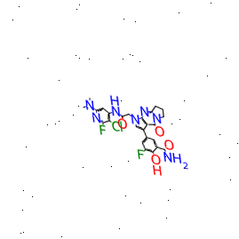 CN(C)c1cc(NC(=O)Cn2cc(-c3cc(F)c(O)c(C(N)=O)c3)c3c(=O)n4c(nc32)CCC4)c(Cl)c(F)n1